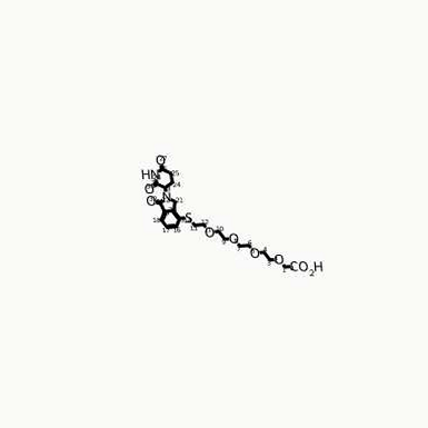 O=C(O)COCCOCCOCCOCCSc1cccc2c1CN(C1CCC(=O)NC1=O)C2=O